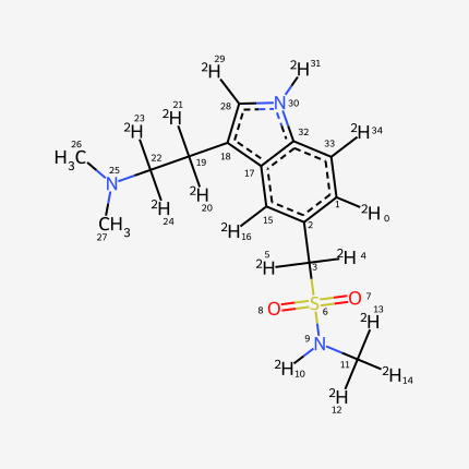 [2H]c1c(C([2H])([2H])S(=O)(=O)N([2H])C([2H])([2H])[2H])c([2H])c2c(C([2H])([2H])C([2H])([2H])N(C)C)c([2H])n([2H])c2c1[2H]